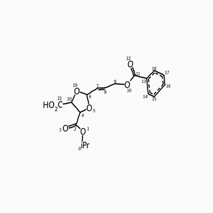 CC(C)OC(=O)C1OC(C=CCOC(=O)c2ccccc2)OC1C(=O)O